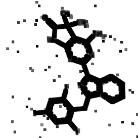 CC1(C)C(=O)Nc2nc(-c3nc(Cc4c(F)cc(I)cc4F)n4ccccc34)nc(N)c21